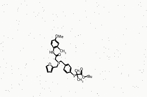 COc1ccc(NC(=O)CN(Cc2ccc(SC(C)(C)C(=O)OC(C)(C)C)cc2)Cc2ccco2)c(C)c1